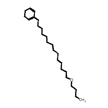 CCCCOCCCCCCCCCCCCCCC1=CCCC=C1